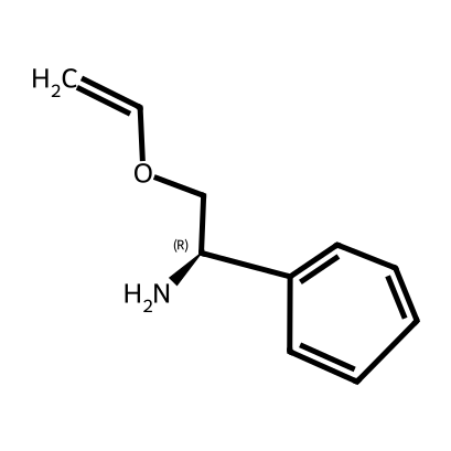 C=COC[C@H](N)c1ccccc1